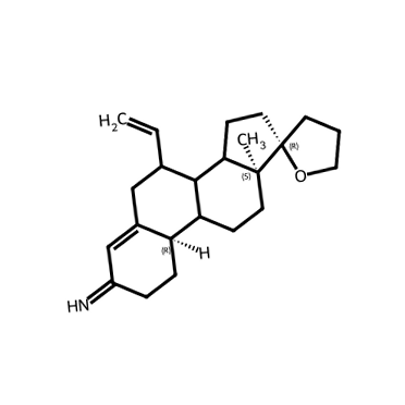 C=CC1CC2=CC(=N)CC[C@@H]2C2CC[C@@]3(C)C(CC[C@@]34CCCO4)C12